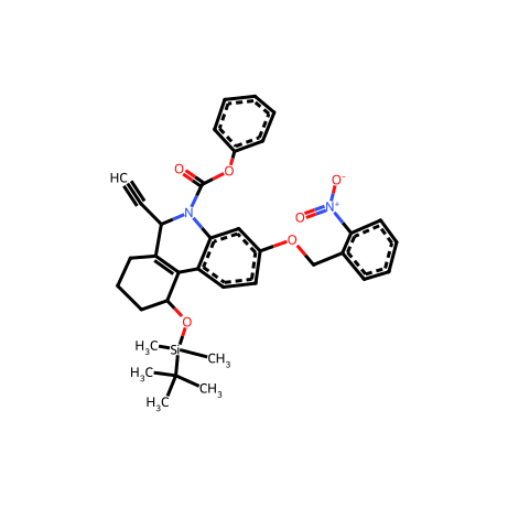 C#CC1C2=C(c3ccc(OCc4ccccc4[N+](=O)[O-])cc3N1C(=O)Oc1ccccc1)C(O[Si](C)(C)C(C)(C)C)CCC2